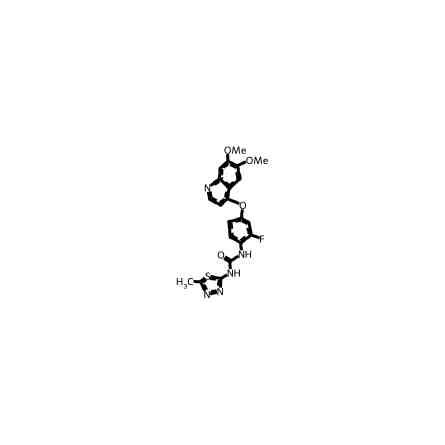 COc1cc2nccc(Oc3ccc(NC(=O)Nc4nnc(C)s4)c(F)c3)c2cc1OC